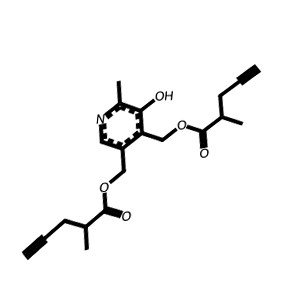 C#CCC(C)C(=O)OCc1cnc(C)c(O)c1COC(=O)C(C)CC#C